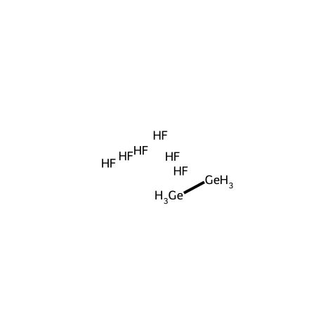 F.F.F.F.F.F.[GeH3][GeH3]